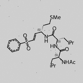 CSCC[C@@H](C=CS(=O)(=O)c1ccccc1)NC(=O)[C@H](CC(C)C)NC(=O)[C@H](CC(C)C)NC(C)=O